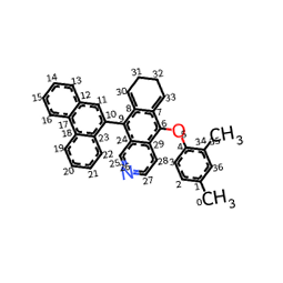 Cc1ccc(Oc2c3c(c(-c4cc5ccccc5c5ccccc45)c4cnccc24)=CCCC=3)c(C)c1